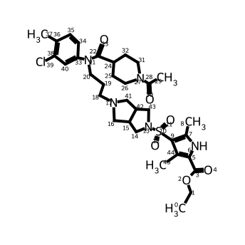 CCOC(=O)c1[nH]c(C)c(S(=O)(=O)N2CC3CN(CCCN(C(=O)C4CCN(C(C)=O)CC4)c4ccc(C)c(Cl)c4)CC3C2)c1C